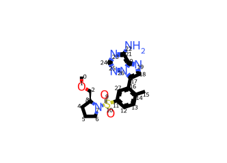 COC[C@@H]1CCCN1S(=O)(=O)c1ccc(C)c(-c2cnc3c(N)ncnn23)c1